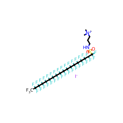 C[N+](C)(C)CCCNS(=O)(=O)C(F)(F)C(F)(F)C(F)(F)C(F)(F)C(F)(F)C(F)(F)C(F)(F)C(F)(F)C(F)(F)C(F)(F)C(F)(F)C(F)(F)C(F)(F)C(F)(F)C(F)(F)C(F)(F)C(F)(F)C(F)(F)F.[I-]